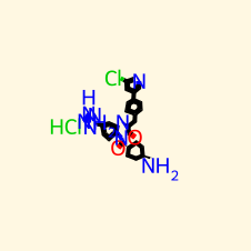 Cl.NC[C@H]1CC[C@H](C(=O)N(C(=O)[C@@H](N)Cc2ccc(-c3cncc(Cl)c3)cc2)c2ccc(-c3nn[nH]n3)cc2)CC1